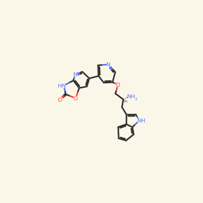 N[C@@H](COc1cncc(-c2cnc3[nH]c(=O)oc3c2)c1)Cc1c[nH]c2ccccc12